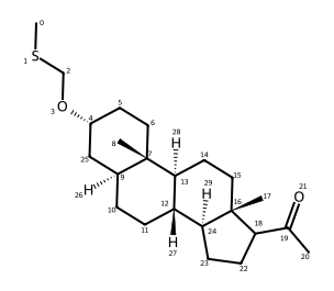 CSCO[C@@H]1CC[C@@]2(C)[C@@H](CC[C@@H]3[C@@H]2CC[C@]2(C)C(C(C)=O)CC[C@@H]32)C1